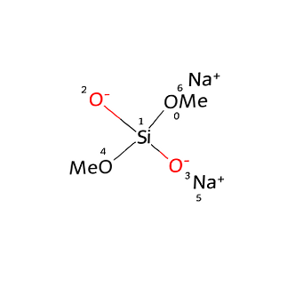 CO[Si]([O-])([O-])OC.[Na+].[Na+]